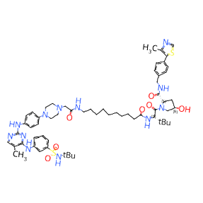 Cc1cnc(Nc2ccc(N3CCN(CC(=O)NCCCCCCCCCC(=O)N[C@H](C(=O)N4C[C@H](O)C[C@H]4C(=O)NCc4ccc(-c5scnc5C)cc4)C(C)(C)C)CC3)cc2)nc1Nc1cccc(S(=O)(=O)NC(C)(C)C)c1